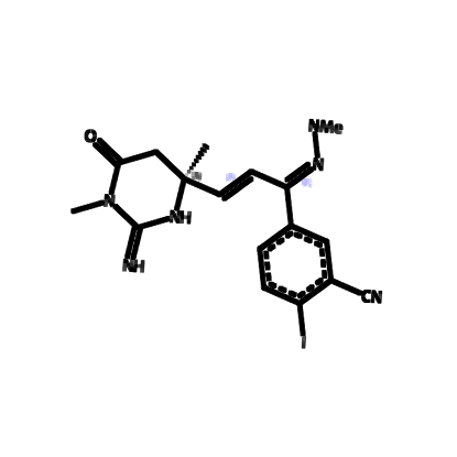 CN/N=C(\C=C\[C@]1(C)CC(=O)N(C)C(=N)N1)c1ccc(I)c(C#N)c1